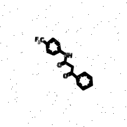 O=C(CC(=O)c1ccccc1)Nc1ccc(C(F)(F)F)cc1